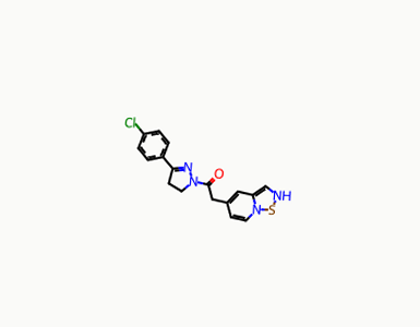 O=C(CC1=CC2=CNSN2C=C1)N1CCC(c2ccc(Cl)cc2)=N1